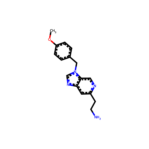 COc1ccc(Cn2cnc3cc(CCN)ncc32)cc1